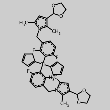 Cc1cc(C2OCCO2)c(C)n1Cc1ccc(F)[c]([Ti]([C]2=CC=CC2)([C]2=CC=CC2)[c]2c(F)ccc(Cn3c(C)cc(C4OCCO4)c3C)c2F)c1F